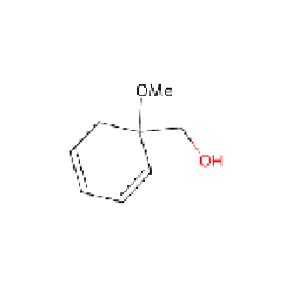 COC1(CO)C=CC=CC1